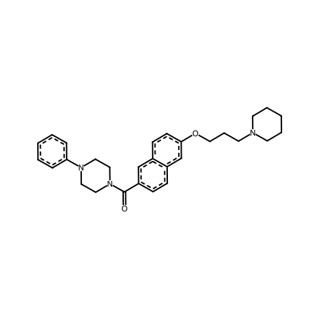 O=C(c1ccc2cc(OCCCN3CCCCC3)ccc2c1)N1CCN(c2ccccc2)CC1